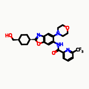 O=C(Nc1cc2oc([C@H]3CC[C@H](CO)CC3)nc2cc1N1CCOCC1)c1cccc(C(F)(F)F)n1